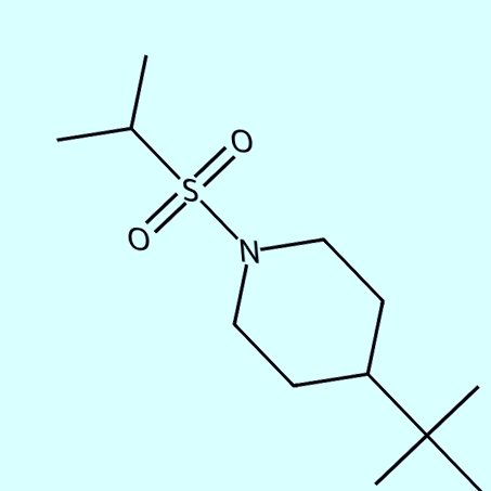 CC(C)S(=O)(=O)N1CCC(C(C)(C)C)CC1